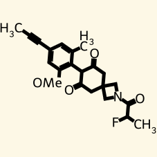 CC#Cc1cc(C)c(C2C(=O)CC3(CC2=O)CN(C(=O)C(C)F)C3)c(OC)c1